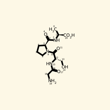 C[C@H](NC(=O)[C@@H]1CCCN1C(=O)[C@H](CO)NC(=O)CN)C(=O)O